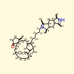 C=C1NC(=C)C2CC3C(=C)N(CCCCCCCCC4C5CCCCC6(CCCCCCC(CC5)C4CCCCCCCC)C(=C)CCC6=O)C(=C)C3CC12